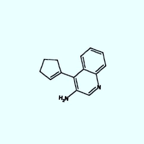 Nc1cnc2ccccc2c1C1=CCCC1